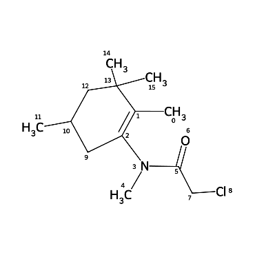 CC1=C(N(C)C(=O)CCl)CC(C)CC1(C)C